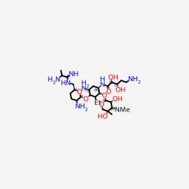 CCC1C(O[C@H]2O[C@H](CNC(=N)C(C)N)CCC2N)[C@@H](N)C[C@@H](NC(=O)[C@@H](O)[C@@H](O)CCN)C1O[C@H]1OCC(C)(O)[C@H](NC)C1O